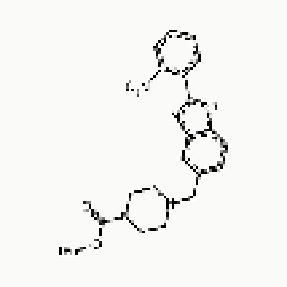 CC(C)(C)OC(=O)N1CCN(Cc2ccc3oc(-c4ccccc4[N+](=O)[O-])nc3c2)CC1